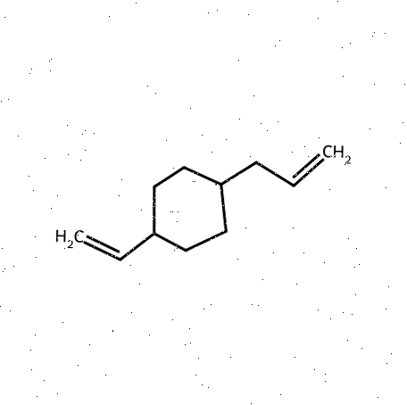 C=CC[C]1CCC(C=C)CC1